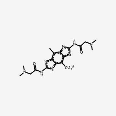 Cc1c2nc(NC(=O)CN(C)C)sc2c(C(=O)O)c2sc(NC(=O)CN(C)C)nc12